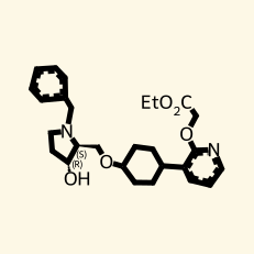 CCOC(=O)COc1ncccc1C1CCC(OC[C@H]2[C@H](O)CCN2Cc2ccccc2)CC1